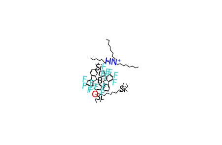 CCCCCCCC[NH+](CCCCCCCC)CCCCCCCC.CC[Si](C)(CC)CCCCCCCC[Si](CC)(Oc1c(F)c(F)c([B-](c2ccc(F)c(F)c2F)(C2c3ccccc3-c3c(F)c(F)c(F)c(F)c32)C2c3cc([Si](C)C)ccc3-c3c(F)c(F)c(F)c(F)c32)c(F)c1F)C(C)C